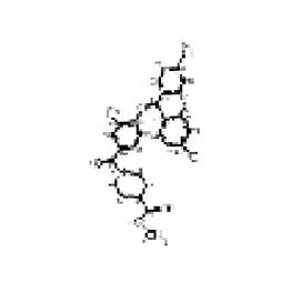 COC(=O)C1CCN(C(=O)c2ccc(OC(c3ccc(Cl)cc3)c3ccc(Cl)cc3Cl)c(F)c2)CC1